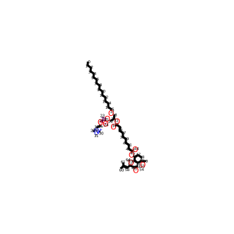 CCCCCCCCCCCCCCCCCOCC(COP(C)(=O)OCC[N+](C)(C)C)OC(=O)CCCCCCCCC(=O)O[C@@H]1CC[C@]2(CO2)[C@@H]([C@@]2(C)OC2CC=C(C)C)[C@@H]1OC